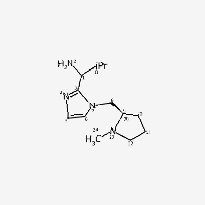 CC(C)C(N)c1nccn1C[C@H]1CCCN1C